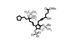 CC[Si](CC)(CC)OC1CC(O[Si](C)(C)C(C)(C)C)=C(CC#CC(O)CCC(=O)OC)C1/C=C/CC(C)(CCC1CCCC1)O[Si](C)(C)C